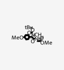 COC(=O)CNC(=O)[C@H](c1ccc(OC)cc1)N(C)C(=O)OC(C)(C)C